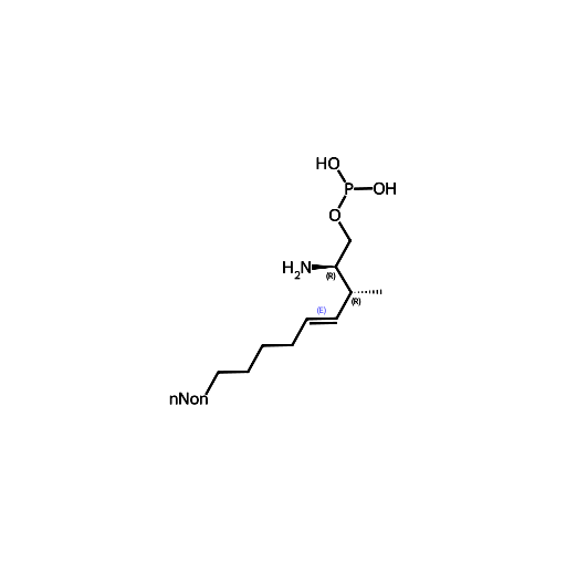 CCCCCCCCCCCCC/C=C/[C@@H](C)[C@@H](N)COP(O)O